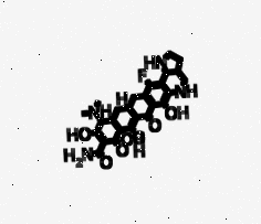 CN(C)[C@@H]1C(O)=C(C(N)=O)C(=O)[C@@]2(O)C(O)=C3C(=O)c4c(O)c5c(c(F)c4C[C@H]3C[C@@H]12)C1NCCC1CN5